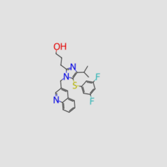 CC(C)c1nc(CCCO)n(Cc2cnc3ccccc3c2)c1Sc1cc(F)cc(F)c1